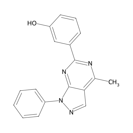 Cc1nc(-c2cccc(O)c2)nc2c1cnn2-c1ccccc1